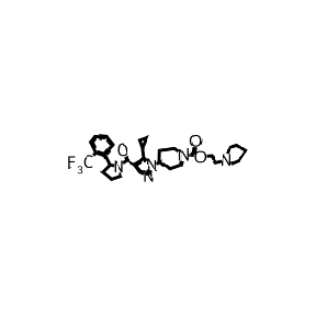 O=C(OCCN1CCCCC1)N1CCC(n2ncc(C(=O)N3CCCC3c3ccccc3C(F)(F)F)c2C2CC2)CC1